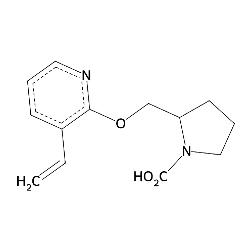 C=Cc1cccnc1OCC1CCCN1C(=O)O